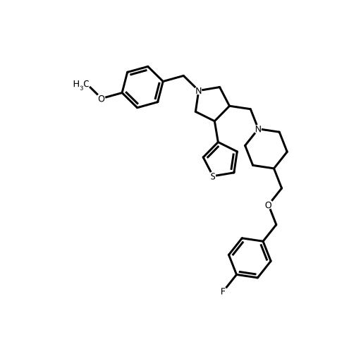 COc1ccc(CN2CC(CN3CCC(COCc4ccc(F)cc4)CC3)C(c3ccsc3)C2)cc1